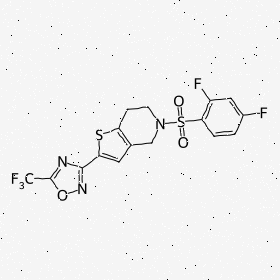 O=S(=O)(c1ccc(F)cc1F)N1CCc2sc(-c3noc(C(F)(F)F)n3)cc2C1